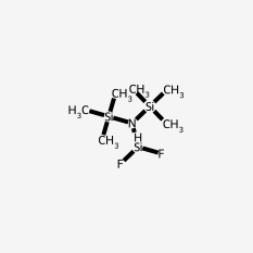 C[Si](C)(C)N([SiH](F)F)[Si](C)(C)C